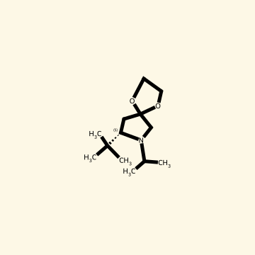 CC(C)N1CC2(C[C@H]1C(C)(C)C)OCCO2